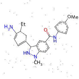 CCC1CC(C2NN(C)c3ccc(C(=O)Nc4ccc(OC)cc4)cc32)=CC=C1N